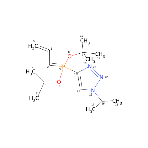 C=CC=P(OC(C)C)(OC(C)(C)C)c1cn(C(C)C)nn1